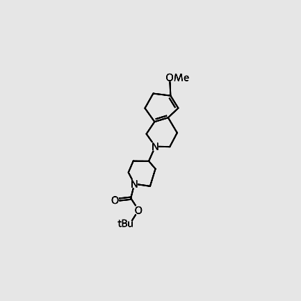 COC1=CC2=C(CC1)CN(C1CCN(C(=O)OC(C)(C)C)CC1)CC2